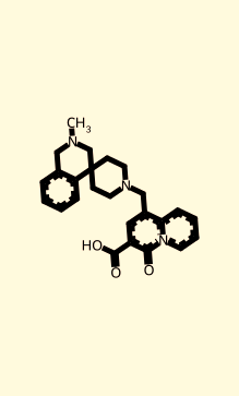 CN1Cc2ccccc2C2(CCN(Cc3cc(C(=O)O)c(=O)n4ccccc34)CC2)C1